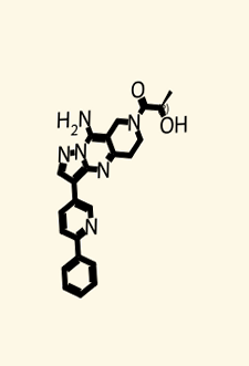 C[C@@H](O)C(=O)N1CCc2nc3c(-c4ccc(-c5ccccc5)nc4)cnn3c(N)c2C1